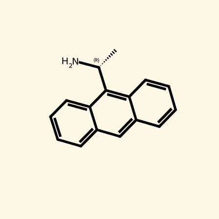 C[C@@H](N)c1c2ccccc2cc2ccccc12